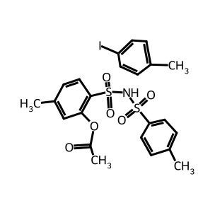 CC(=O)Oc1cc(C)ccc1S(=O)(=O)NS(=O)(=O)c1ccc(C)cc1.Cc1ccc(I)cc1